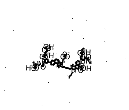 CCCCCN1/C(=C/C=C/C=C/C2=[N+](CCCS(=O)(=O)[O-])c3ccc4cc(-c5cc(C(=O)NCCS(=O)(=O)O)nc(C(=O)NCCS(=O)(=O)O)c5)ccc4c3C2(C)C)C(C)(C)c2c1cc(S(=O)(=O)O)c1cc(-c3cc(C(=O)NCC)nc(C(=O)NCC)c3)ccc21